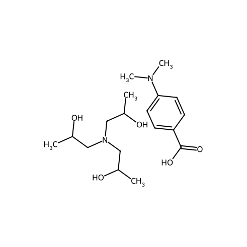 CC(O)CN(CC(C)O)CC(C)O.CN(C)c1ccc(C(=O)O)cc1